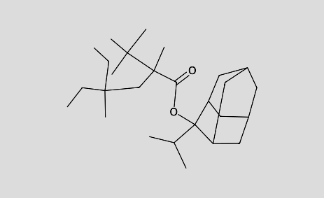 CCC(C)(CC)CC(C)(C(=O)OC1(C(C)C)C2CC3CC(C2)CC1C3)C(C)(C)C